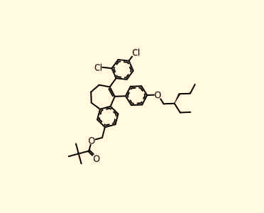 CCC[C@@H](CC)COc1ccc(C2=C(c3ccc(Cl)cc3Cl)CCCc3cc(COC(=O)C(C)(C)C)ccc32)cc1